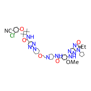 CC[C@@H]1C(=O)N(C)c2cnc(Nc3ccc(C(=O)NC4CCN(CCOC5CCN(c6ncc(C(=O)NC7C(C)(C)C(Oc8ccc(C#N)c(Cl)c8)C7(C)C)cn6)CC5)CC4)cc3OC)nc2N1C1CCCC1